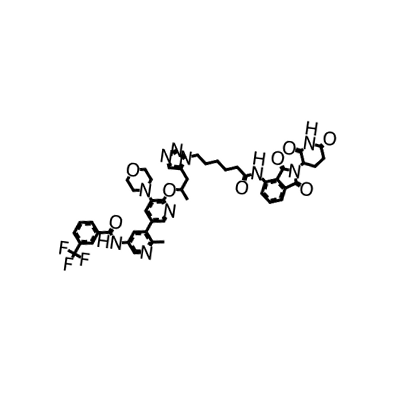 Cc1ncc(NC(=O)c2cccc(C(F)(F)F)c2)cc1-c1cnc(OC(C)Cc2cnnn2CCCCCC(=O)Nc2cccc3c2C(=O)N(C2CCC(=O)NC2=O)C3=O)c(N2CCOCC2)c1